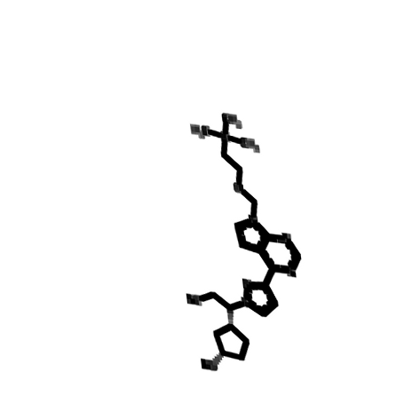 C[Si](C)(C)CCOCn1ccc2c(-c3ccn(C(CC#N)[C@@H]4CC[C@H](O)C4)n3)ncnc21